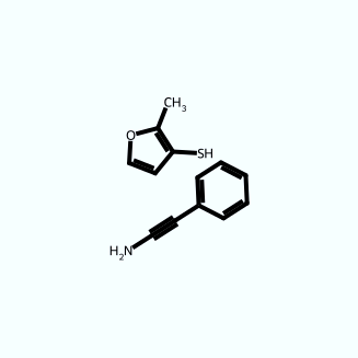 Cc1occc1S.NC#Cc1ccccc1